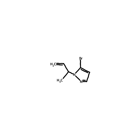 C=CC(C)n1nccc1Br